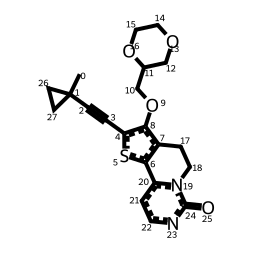 CC1(C#Cc2sc3c(c2OCC2COCCO2)CCn2c-3ccnc2=O)CC1